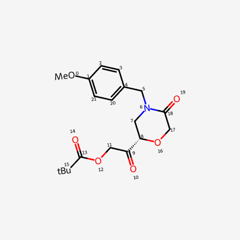 COc1ccc(CN2C[C@@H](C(=O)COC(=O)C(C)(C)C)OCC2=O)cc1